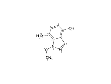 COn1ncc2c(O)ccc(N)c21